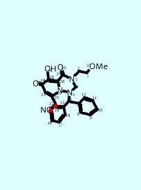 COCCN1CN(C(c2ccccc2)c2ccccc2)n2c(CC#N)cc(=O)c(O)c2C1=O